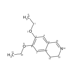 CCOc1cc2c(cc1OCC)CCN=C2